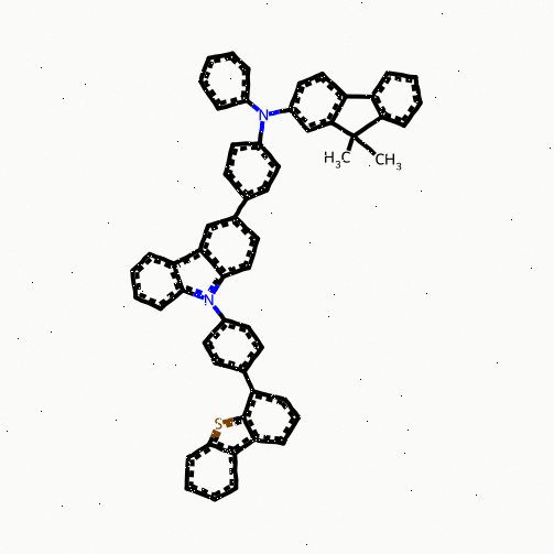 CC1(C)c2ccccc2-c2ccc(N(c3ccccc3)c3ccc(-c4ccc5c(c4)c4ccccc4n5-c4ccc(-c5cccc6c5sc5ccccc56)cc4)cc3)cc21